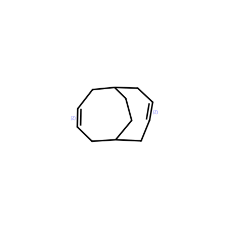 C1=C\CC2C/C=C\CC(C/1)CC2